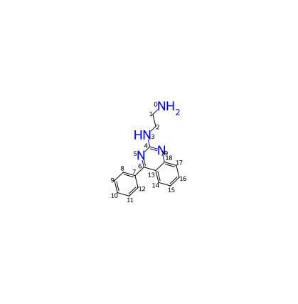 NCCNc1nc(-c2ccccc2)c2ccccc2n1